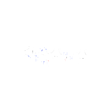 NC(=O)c1c(-c2ccc(NC(=O)N3CCc4ccccc4C3)cc2)n[nH]c1Nc1ccccn1